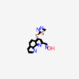 ON=Cc1cc(Sc2nncs2)c2ccc3cccnc3c2n1